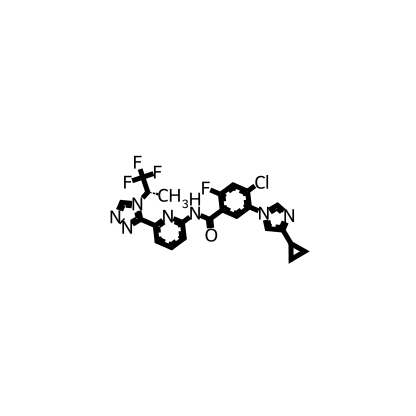 C[C@H](n1cnnc1-c1cccc(NC(=O)c2cc(-n3cnc(C4CC4)c3)c(Cl)cc2F)n1)C(F)(F)F